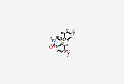 COc1ccc2c(=O)n(C)cc(-c3ccc(F)cc3)c2c1